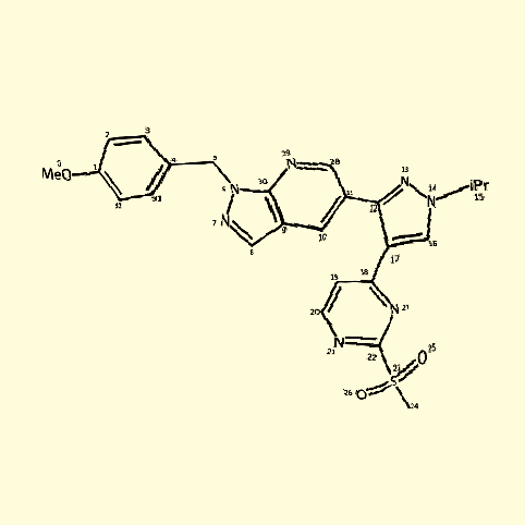 COc1ccc(Cn2ncc3cc(-c4nn(C(C)C)cc4-c4ccnc(S(C)(=O)=O)n4)cnc32)cc1